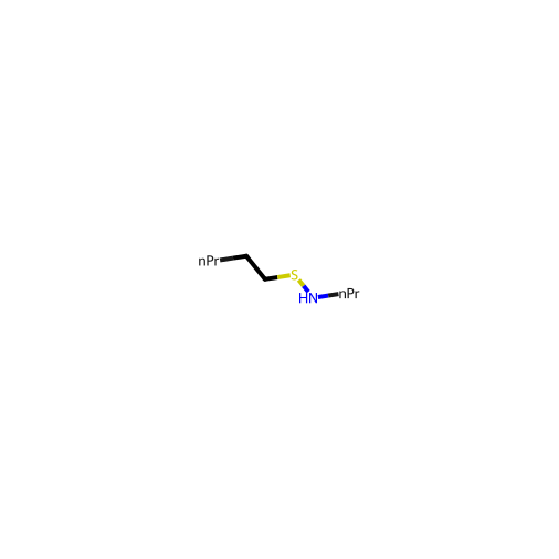 CCCCCSNCCC